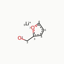 [Li+].[O-]Cc1ccco1